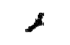 CC(C)(C)OC(=O)N1CCN(c2ccc3c(O)c(C(=O)NCc4ccc(C#N)nc4)ncc3n2)CC1